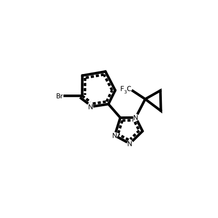 FC(F)(F)C1(n2cnnc2-c2cccc(Br)n2)CC1